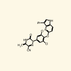 C=C1NC(=O)N(c2cc(Cl)c(Oc3ccc4[nH]cc(C(C)C)c4n3)c(Cl)c2)N=C1C#N